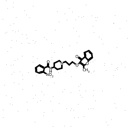 Cc1oc2ccccc2c(=O)c1OCCCN1CCC(NC(=O)c2ccccc2[N+](=O)[O-])CC1